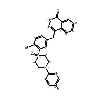 O=c1[nH]nc(Cc2ccc(F)c(P3(=O)CCN(c4ccc(F)cn4)CC3)c2)c2ccccc12